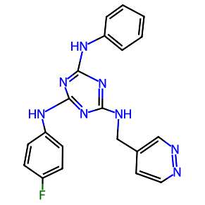 Fc1ccc(Nc2nc(NCc3ccnnc3)nc(Nc3ccccc3)n2)cc1